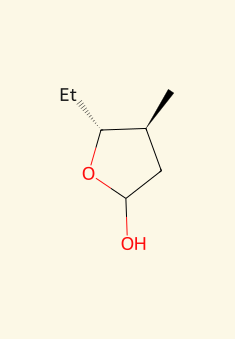 CC[C@H]1OC(O)C[C@@H]1C